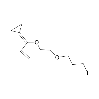 C=CC(OCCOCCCI)=C1CC1